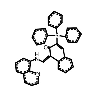 O=C1C(=CNc2cccc3cccnc23)c2ccccc2C=C1[Si](c1ccccc1)(c1ccccc1)c1ccccc1